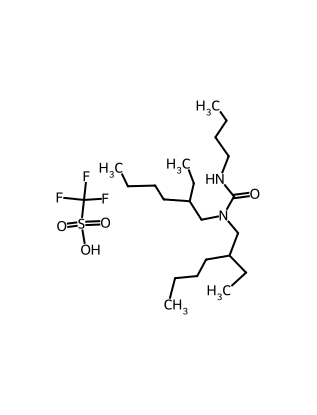 CCCCNC(=O)N(CC(CC)CCCC)CC(CC)CCCC.O=S(=O)(O)C(F)(F)F